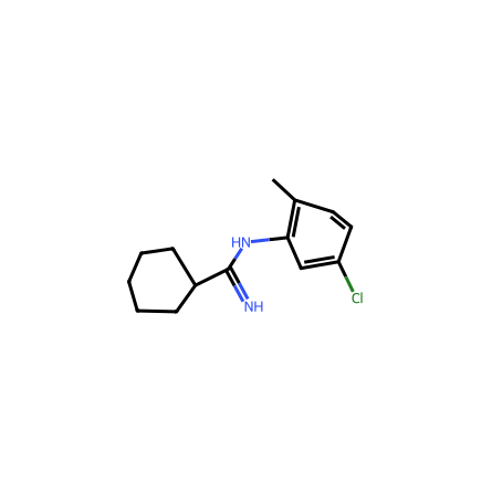 Cc1ccc(Cl)cc1NC(=N)C1CCCCC1